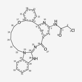 O=C(CCl)Nc1cc2cc(n1)-c1ccccc1OCCCCCN1/C(=N/C2=O)Nc2ccccc21